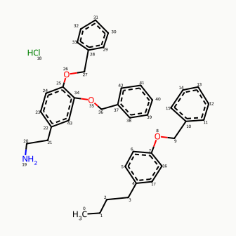 CCCCc1ccc(OCc2ccccc2)cc1.Cl.NCCc1ccc(OCc2ccccc2)c(OCc2ccccc2)c1